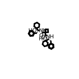 O=C(N[C@H](Cc1ccccc1)C1(O)CCCCC1)C1(C(=O)N[C@H](Cc2ccccc2)C2(O)CCCCC2)CCC1